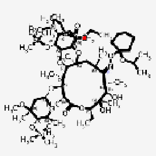 CCOP(=O)(CO[C@@]1(C)C[C@@H](C)/C(=N\OC2(OC(C)C)CCCCC2)[C@H](C)[C@@H](O)[C@](C)(O)[C@@H](CC)OC(=O)[C@H](C)[C@@H](O[C@H]2C[C@@](C)(OC)[C@@H](O[Si](C)(C)C)[C@H](C)O2)[C@H](C)[C@H]1O[C@@H]1O[C@H](C)C[C@H](N(C)C)[C@H]1O[Si](C)(C)C)OCC